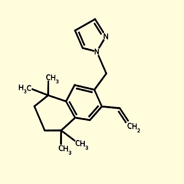 C=Cc1cc2c(cc1Cn1cccn1)C(C)(C)CCC2(C)C